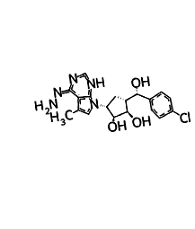 Cc1cn([C@@H]2C[C@H]([C@H](O)c3ccc(Cl)cc3)[C@@H](O)[C@H]2O)c2[nH]cn/c(=N/N)c12